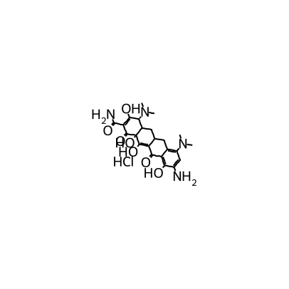 CN(C)c1cc(N)c(O)c2c1CC1CC3[C@H](N(C)C)C(O)=C(C(N)=O)C(=O)[C@@]3(O)C(O)=C1C2=O.Cl